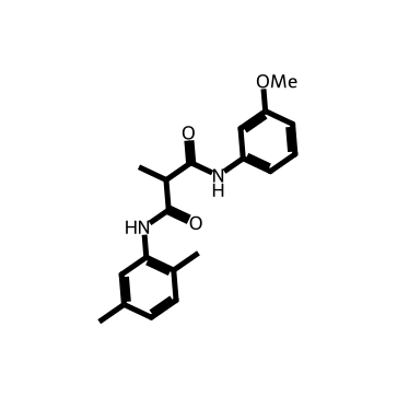 COc1cccc(NC(=O)C(C)C(=O)Nc2cc(C)ccc2C)c1